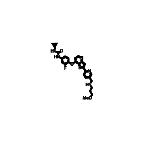 COCCCNCc1ccc(-c2cc3nccc(Oc4ccc(NC(=O)NC5CC5)cc4F)c3s2)nc1